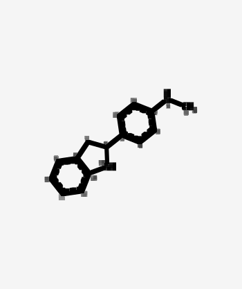 CNc1ccc(C2Cc3ccccc3N2)cc1